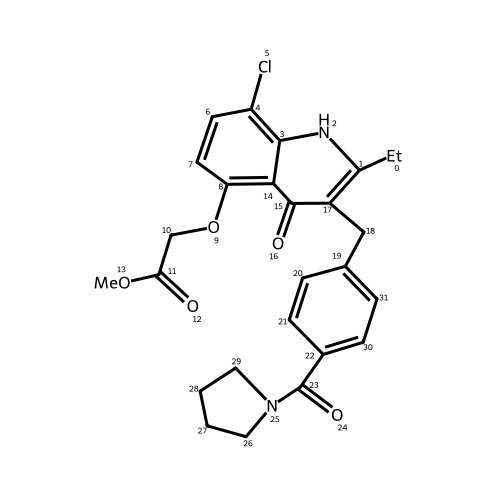 CCc1[nH]c2c(Cl)ccc(OCC(=O)OC)c2c(=O)c1Cc1ccc(C(=O)N2CCCC2)cc1